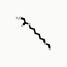 C=CC(=O)OCCCCCC=NC=O